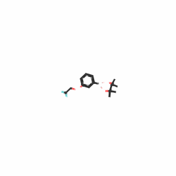 CC1(C)OB(c2cccc(OCC(F)F)c2)OC1(C)C